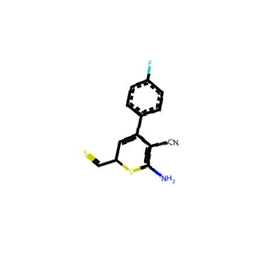 N#CC1=C(N)SC(C=S)C=C1c1ccc(F)cc1